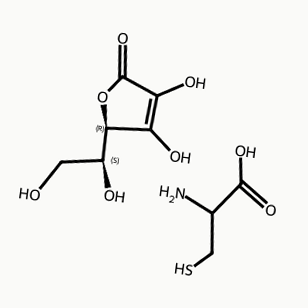 NC(CS)C(=O)O.O=C1O[C@H]([C@@H](O)CO)C(O)=C1O